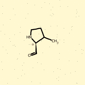 CC1CCN[C@@H]1C=O